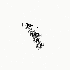 Cl.Cl.O=C(C=Cc1cnc(N[C@@H]2CCCN(Cc3ccccc3Cl)C2)cn1)NO